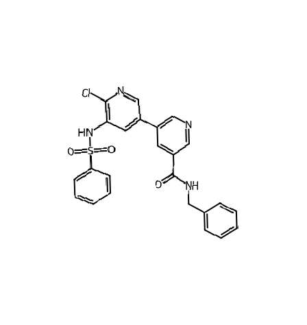 O=C(NCc1ccccc1)c1cncc(-c2cnc(Cl)c(NS(=O)(=O)c3ccccc3)c2)c1